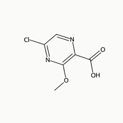 COc1nc(Cl)cnc1C(=O)O